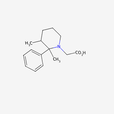 CC1CCCN(CC(=O)O)C1(C)c1ccccc1